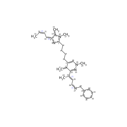 C=C1C(CCCCc2n/c(=C/C=C\C)c(=C)n2C)=CN(C)N=C1/C(C)=C/C=N\Cc1ccccc1